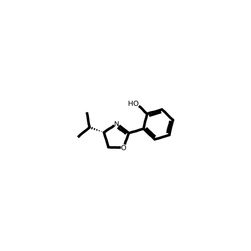 CC(C)[C@H]1COC(c2ccccc2O)=N1